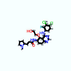 CN1CCCC1C=CC(=O)Nc1ccc2ncnc(Nc3ccc(Cl)c(Cl)c3F)c2c1OCCO